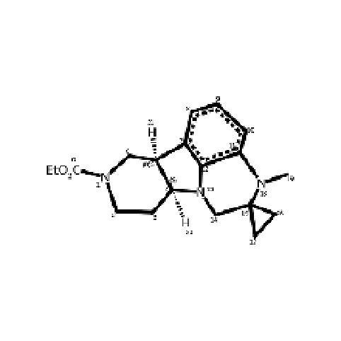 CCOC(=O)N1CC[C@H]2[C@@H](C1)c1cccc3c1N2CC1(CC1)N3C